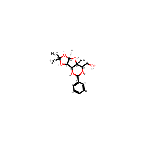 CC1(C)OC2C3OC(c4ccccc4)OC(CO)[C@H]3O[C@@H]2O1